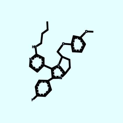 CCCCNc1cc(-c2c(-c3ccc(F)cc3)nc3n2C(COc2cccc(OC)c2)CC3)ccn1